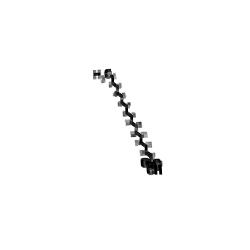 CCCCCCCCCCCCCCCCC=CS(=O)(=O)O